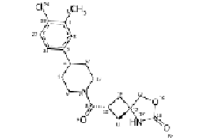 Cc1cc(C2CCN(C(=O)[C@H]3C[C@]4(COC(=O)N4)C3)CC2)ccc1Cl